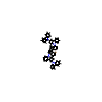 c1ccc2c(c1)Sc1ccc(-n3c4ccccc4c4cc(-n5c6ccccc6c6ccccc65)ccc43)cc1C21c2ccccc2-c2ccc(-n3c4ccccc4c4cc(-n5c6ccccc6c6ccccc65)ccc43)cc21